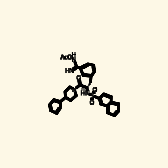 CC(=O)ONC(=N)c1cccc(C[C@H](NS(=O)(=O)c2ccc3ccccc3c2)C(=O)N2CCC(c3ccccc3)CC2)c1